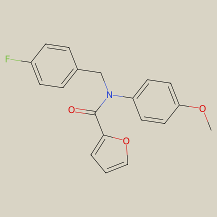 COc1ccc(N(Cc2ccc(F)cc2)C(=O)c2ccco2)cc1